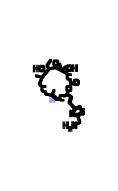 CCC1C(=O)C(C)(C)C(O)CC(=O)OC(C=Cc2csc(CN)n2)C/C=C(\C)CCCC(C)C1O